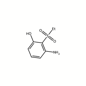 CCS(=O)(=O)c1c(N)cccc1O